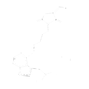 CCCC=C1SC(=O)N(CCCCSc2cccc3ncc(CN(C)C)n23)C1=O.Cl.Cl